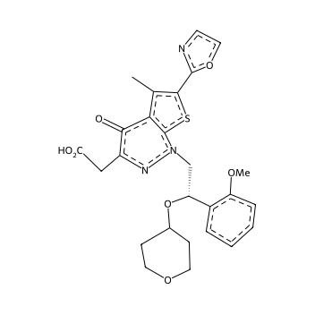 COc1ccccc1[C@@H](Cn1nc(CC(=O)O)c(=O)c2c(C)c(-c3ncco3)sc21)OC1CCOCC1